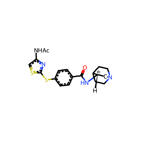 CC(=O)Nc1csc(Sc2ccc(C(=O)N[C@H]3CN4CCC3CC4)cc2)n1